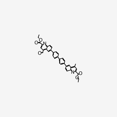 CCOC(=O)c1cc(C)c2cc(-c3ccc(-c4ccc(-c5ccc6nc(C(=O)OCC)cc(C=O)c6c5)cc4)cc3)ccc2n1